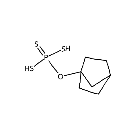 S=P(S)(S)OC12CCC(CC1)C2